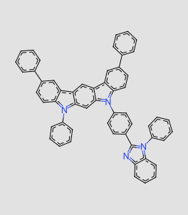 c1ccc(-c2ccc3c(c2)c2cc4c5cc(-c6ccccc6)ccc5n(-c5ccc(-c6nc7ccccc7n6-c6ccccc6)cc5)c4cc2n3-c2ccccc2)cc1